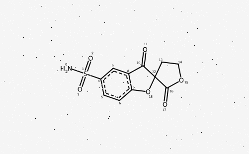 NS(=O)(=O)c1ccc2c(c1)C(=O)C1(CCOC1=O)O2